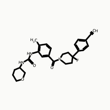 C#Cc1ccc(C2(F)CCN(C(=O)c3ccc(C)c(NC(=O)NC4CCCOC4)c3)CC2)cc1